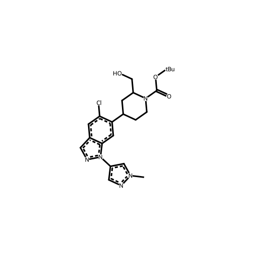 Cn1cc(-n2ncc3cc(Cl)c(C4CCN(C(=O)OC(C)(C)C)C(CO)C4)cc32)cn1